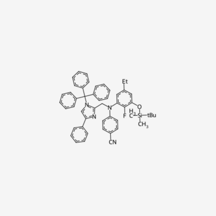 CCc1cc(O[Si](C)(C)C(C)(C)C)c(F)c(N(Cc2nc(-c3ccccc3)cn2C(c2ccccc2)(c2ccccc2)c2ccccc2)c2ccc(C#N)cc2)c1